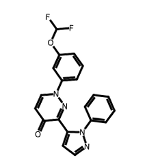 O=c1ccn(-c2cccc(OC(F)F)c2)nc1-c1ccnn1-c1ccccc1